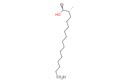 CCOC(=O)CCCCCCCCCCCC[C@@H](C)[C@@H](O)CC